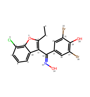 CCc1oc2c(Cl)cccc2c1C(=NO)c1cc(Br)c(O)c(Br)c1